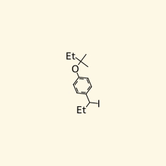 CCC(I)c1ccc(OC(C)(C)CC)cc1